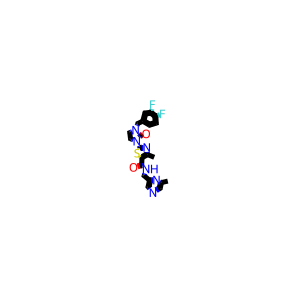 Cc1cncc(CNC(=O)c2sc(N3CCN(Cc4ccc(F)c(F)c4)C3=O)nc2C)n1